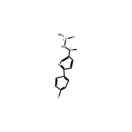 C[C@H](N[S@@+]([O-])C(C)(C)C)c1ccc(-c2ccc(F)cc2)nc1